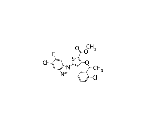 COC(=O)c1sc(-n2cnc3cc(Cl)c(F)cc32)cc1O[C@H](C)c1ccccc1Cl